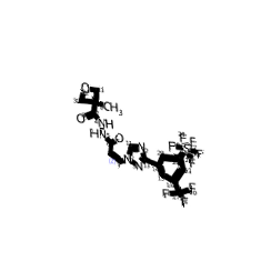 CC1(C(=O)NNC(=O)/C=C\n2cnc(-c3cc(C(F)(F)F)cc(S(F)(F)(F)(F)F)c3)n2)COC1